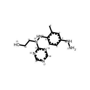 Cc1cc(NN)ccc1NN(CCO)c1ncncn1